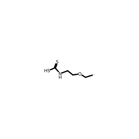 [CH2]COCCNC(=S)S